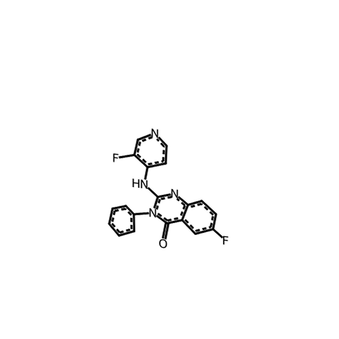 O=c1c2cc(F)ccc2nc(Nc2ccncc2F)n1-c1ccccc1